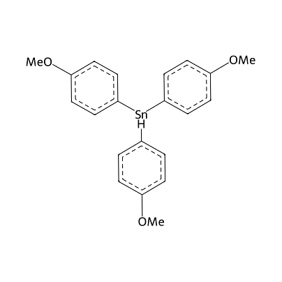 COc1cc[c]([SnH]([c]2ccc(OC)cc2)[c]2ccc(OC)cc2)cc1